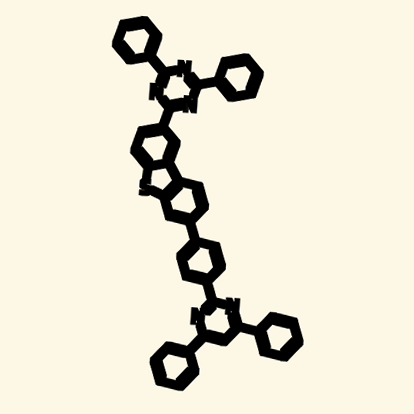 c1ccc(-c2cc(-c3ccccc3)nc(-c3ccc(-c4ccc5c(c4)sc4ccc(-c6nc(-c7ccccc7)nc(-c7ccccc7)n6)cc45)cc3)n2)cc1